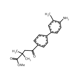 COC(=O)C(C)(C)CC(=O)c1ccc(-c2ccc(N)c(C)c2)cc1